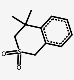 CC1(C)CS(=O)(=O)Cc2ccccc21